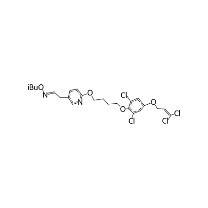 CC(C)CON=CCc1ccc(OCCCCOc2c(Cl)cc(OCC=C(Cl)Cl)cc2Cl)nc1